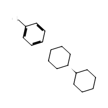 Clc1ccc([C@H]2CC[C@H](C3CC[CH]CC3)CC2)cc1